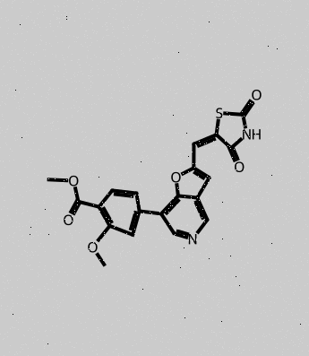 COC(=O)c1ccc(-c2cncc3cc(/C=C4/SC(=O)NC4=O)oc23)cc1OC